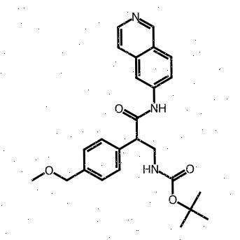 COCc1ccc(C(CNC(=O)OC(C)(C)C)C(=O)Nc2ccc3cnccc3c2)cc1